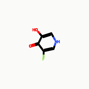 O=c1c(O)c[nH]cc1F